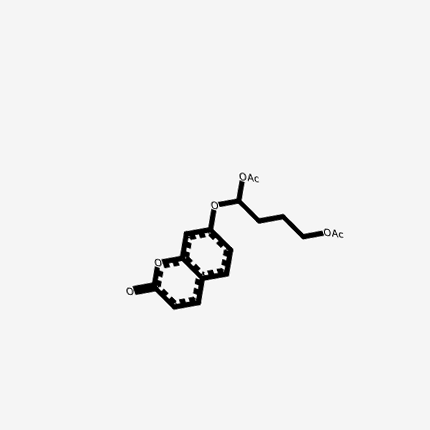 CC(=O)OCCCC(OC(C)=O)Oc1ccc2ccc(=O)oc2c1